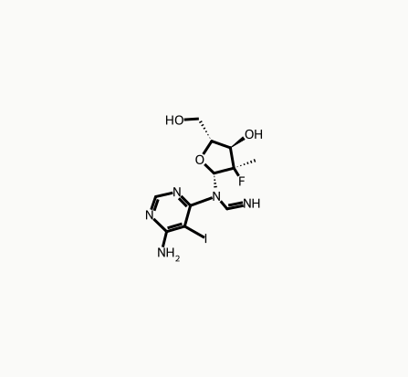 C[C@@]1(F)[C@H](O)[C@@H](CO)O[C@H]1N(C=N)c1ncnc(N)c1I